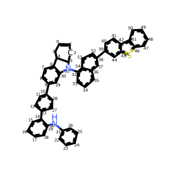 C1=CCC2C(C1)c1ccc(-c3ccc(-c4ccccc4Nc4ccccc4)cc3)cc1N2c1cccc2cc(-c3ccc4c(c3)sc3ccccc34)ccc12